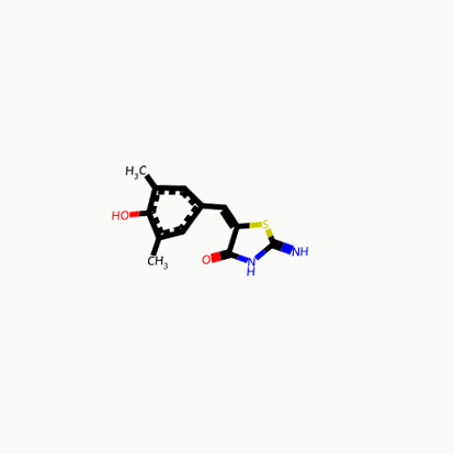 Cc1cc(C=C2SC(=N)NC2=O)cc(C)c1O